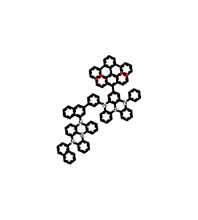 c1ccc(-c2cccc(-c3ccccc3)c2-c2c3ccccc3c(-c3cc4c5c(c3)N(c3cccc(-c6cc(N7c8ccccc8B8c9ccccc9N(c9cccc%10ccccc9%10)c9cccc7c98)c7ccccc7c6)c3)c3ccccc3B5c3ccccc3N4c3ccccc3)c3ccccc23)cc1